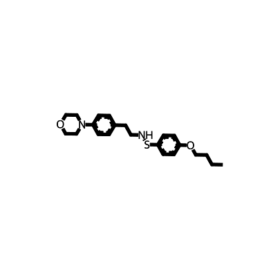 CCCCOc1ccc(SNCCc2ccc(N3CCOCC3)cc2)cc1